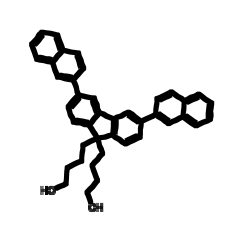 OCCCCC1(CCCCO)c2ccc(-c3ccc4ccccc4c3)cc2-c2cc(-c3ccc4ccccc4c3)ccc21